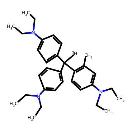 [2H]C(c1ccc(N(CC)CC)cc1)(c1ccc(N(CC)CC)cc1)c1ccc(N(CC)CC)cc1C